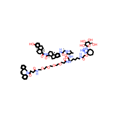 CC(C)[C@H](NC(=O)[C@@H](CCCCCNC(=O)COC1CCCCC/C(N[C@@H]2O[C@H](CO)[C@H](O)[C@H](O)[C@H]2O)=C\1N=N)NC(=O)CCOCCOCCOCCOCCNC(=O)CCC(=O)N1Cc2ccccc2C#Cc2ccccc21)C(=O)N[C@@H](C)C(=O)Nc1ccc2c(c1)[C@@]1(C)CCC[C@](C)(C(=O)NC(=O)[C@@]3(C)CCC[C@]4(C)c5cc(O)ccc5CC[C@@H]34)C1CC2